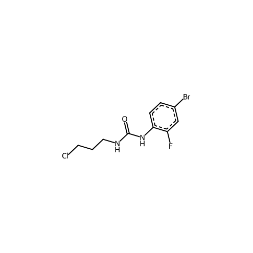 O=C(NCCCCl)Nc1ccc(Br)cc1F